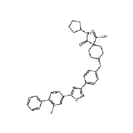 O=C(O)C1(C(=O)NC2CCCC2)CCN(Cc2ccc(-c3noc(-c4ccc(-c5ccccc5)c(F)c4)n3)cc2)CC1